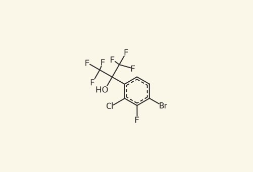 OC(c1ccc(Br)c(F)c1Cl)(C(F)(F)F)C(F)(F)F